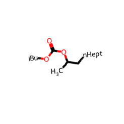 CCCCCCCCC(C)OC(=O)OC(C)CC